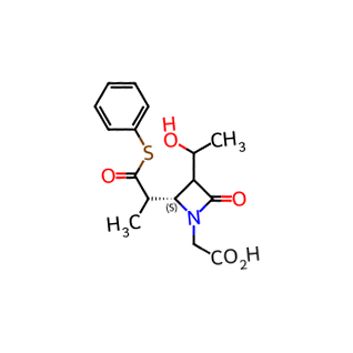 CC(O)C1C(=O)N(CC(=O)O)[C@@H]1C(C)C(=O)Sc1ccccc1